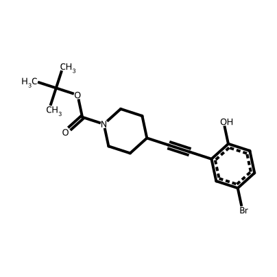 CC(C)(C)OC(=O)N1CCC(C#Cc2cc(Br)ccc2O)CC1